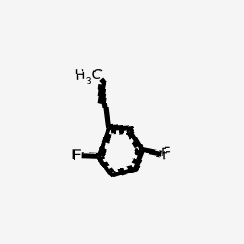 CC=Cc1cc(F)ccc1F